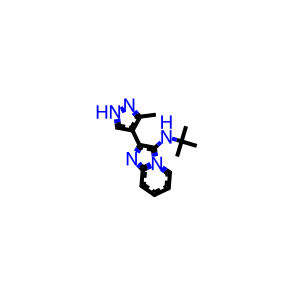 Cc1n[nH]cc1-c1nc2ccccn2c1NC(C)(C)C